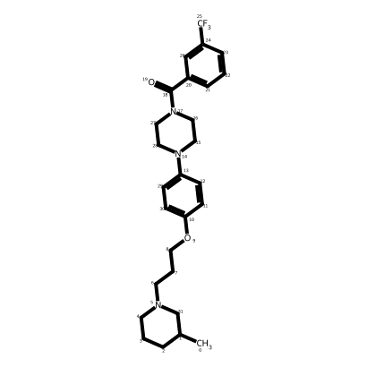 CC1CCCN(CCCOc2ccc(N3CCN(C(=O)c4cccc(C(F)(F)F)c4)CC3)cc2)C1